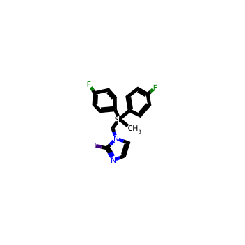 C[Si](Cn1ccnc1I)(c1ccc(F)cc1)c1ccc(F)cc1